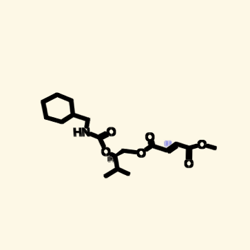 COC(=O)/C=C/C(=O)OC[C@H](OC(=O)NCC1CCCCC1)C(C)C